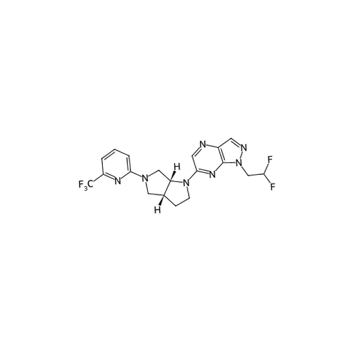 FC(F)Cn1ncc2ncc(N3CC[C@@H]4CN(c5cccc(C(F)(F)F)n5)C[C@@H]43)nc21